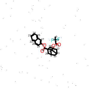 CC(F)(F)C(=O)OC12CC3CC(C1)CC(C(=O)Oc1ccc4ccccc4c1)(C3)C2